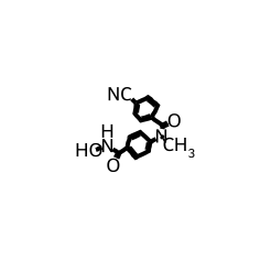 CN(C(=O)c1ccc(C#N)cc1)c1ccc(C(=O)NO)cc1